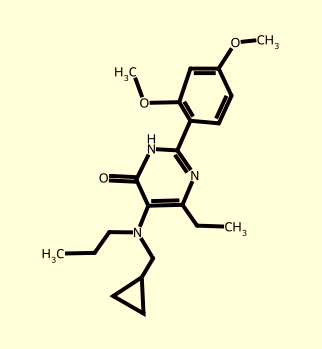 CCCN(CC1CC1)c1c(CC)nc(-c2ccc(OC)cc2OC)[nH]c1=O